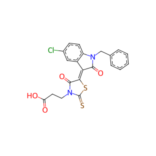 O=C(O)CCN1C(=O)/C(=C2/C(=O)N(Cc3ccccc3)c3ccc(Cl)cc32)SC1=S